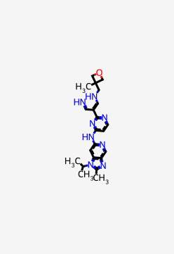 Cc1nc2cnc(Nc3ccnc(/C(C=N)=C/NCC4(C)COC4)n3)cc2n1C(C)C